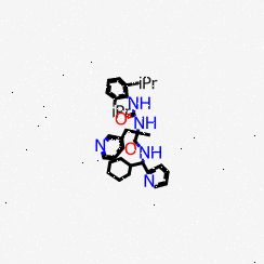 CC(C)c1cccc(C(C)C)c1NC(=O)NC(C)(Cc1cccnc1)C(=O)NC(c1ccccn1)C1CCCCC1